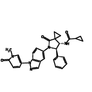 Cn1cc(-n2ncc3cc(N4C(=O)C5(CC5)[C@H](NC(=O)C5CC5)[C@H]4c4ccccc4)ccc32)ccc1=O